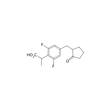 CC(C(=O)O)c1c(F)cc(CC2CCCC2=O)cc1F